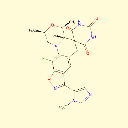 C[C@@H]1CN2c3c(cc4c(-c5cncn5C)noc4c3F)CC3(C(=O)NC(=O)NC3=O)[C@H]2[C@H](C)O1